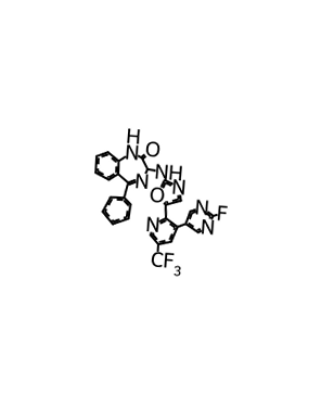 O=C1Nc2ccccc2C(c2ccccc2)=NC1Nc1ncc(-c2ncc(C(F)(F)F)cc2-c2cnc(F)nc2)o1